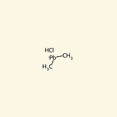 Cl.[CH3][Pb][CH3]